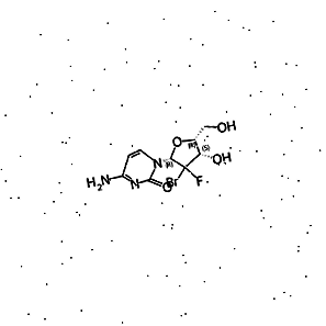 Nc1ccn([C@@H]2O[C@H](CO)[C@H](O)C2(F)Br)c(=O)n1